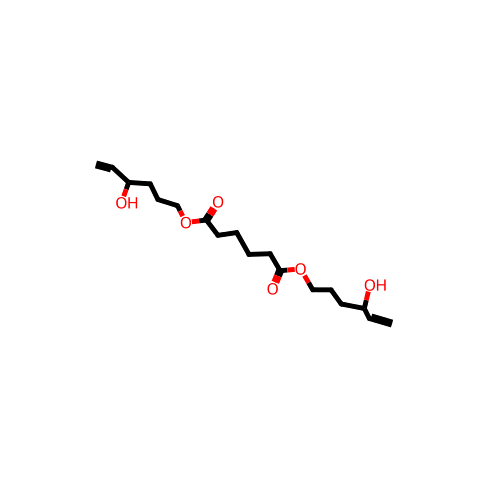 C=CC(O)CCCOC(=O)CCCCC(=O)OCCCC(O)C=C